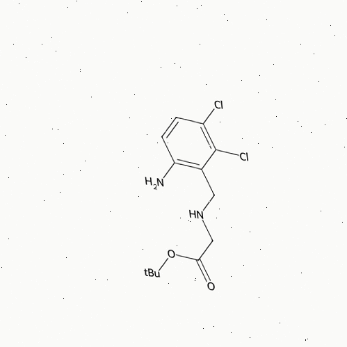 CC(C)(C)OC(=O)CNCc1c(N)ccc(Cl)c1Cl